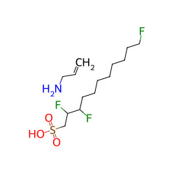 C=CCN.O=S(=O)(O)CC(F)C(F)CCCCCCCCF